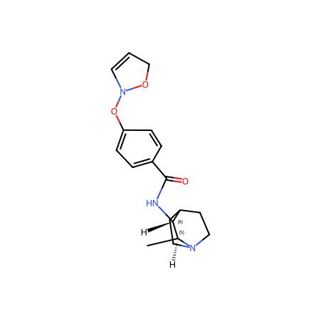 C[C@H]1[C@H](NC(=O)c2ccc(ON3C=CCO3)cc2)C2CCN1CC2